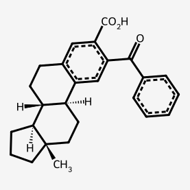 C[C@@]12CCC[C@H]1[C@@H]1CCc3cc(C(=O)O)c(C(=O)c4ccccc4)cc3[C@H]1CC2